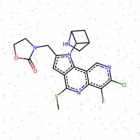 CSc1nc2c(F)c(Cl)ncc2c2c1cc(CN1CCOC1=O)n2C1C2CNC1C2